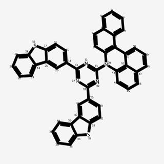 c1ccc2c3c(ccc2c1)N(c1nc(-c2ccc4sc5ccccc5c4c2)nc(-c2ccc4sc5ccccc5c4c2)n1)c1cccc2cccc-3c12